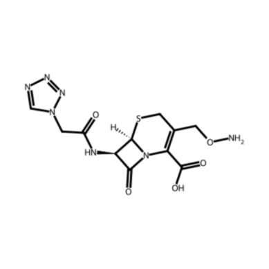 NOCC1=C(C(=O)O)N2C(=O)[C@@H](NC(=O)Cn3cnnn3)[C@H]2SC1